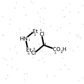 CCNCC.O=C(O)C(Cl)Cl